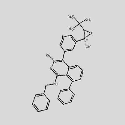 CC(C)(C)N1O[C@@]1(O)c1cncc(-c2c(Cl)nc(NCc3ccccc3)c3c(-c4ccccc4)cccc23)c1